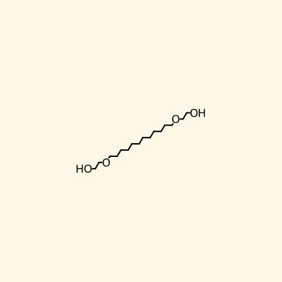 OCCOCCCCCCCCCCCCOCCO